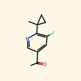 CC(=O)c1cnc(C2(C)CC2)c(F)c1